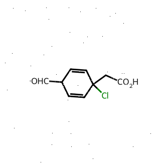 O=[C]C1C=CC(Cl)(CC(=O)O)C=C1